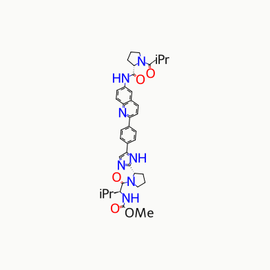 COC(=O)N[C@H](C(=O)N1CCC[C@H]1c1ncc(-c2ccc(-c3ccc4cc(NC(=O)[C@@H]5CCCN5C(=O)C(C)C)ccc4n3)cc2)[nH]1)C(C)C